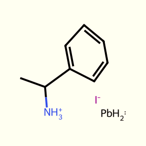 CC([NH3+])c1ccccc1.[I-].[PbH2]